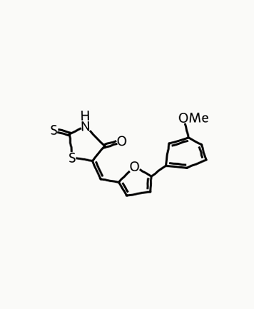 COc1cccc(-c2ccc(C=C3SC(=S)NC3=O)o2)c1